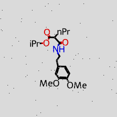 CCCC(C(=O)NCCc1ccc(OC)c(OC)c1)C(=O)OC(C)C